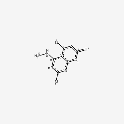 CCc1cc(=O)oc2nc(Cl)nc(NP)c12